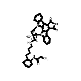 C=CC(=O)Nc1ccccc1CCCCNC(=O)[C@@]1(O)CC2O[C@]1(C)n1c3ccccc3c3c4c(c5c6ccccc6n2c5c31)C(=O)NC4=O